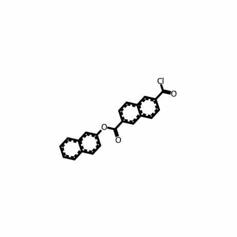 O=C(Cl)c1ccc2cc(C(=O)Oc3ccc4ccccc4c3)ccc2c1